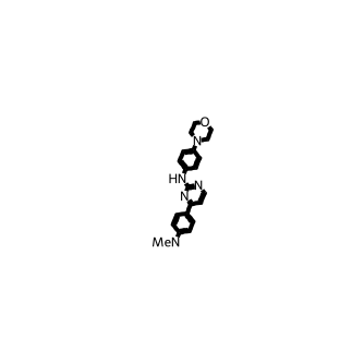 CNc1ccc(-c2ccnc(Nc3ccc(N4CCOCC4)cc3)n2)cc1